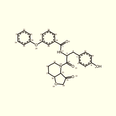 O=C(NC(Cc1ccc(O)cc1)C(=O)N1CCCC2OCC(=O)C21)c1cccc(Oc2ccccc2)c1